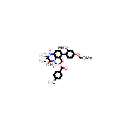 COCOc1ccc(-c2ccc3c(c2COC(=O)c2ccc(C)cc2)N(C)C(=O)C(C)(C)N3)c(OC)c1